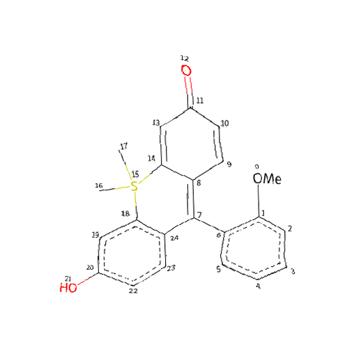 COc1ccccc1C1=C2C=CC(=O)C=C2S(C)(C)c2cc(O)ccc21